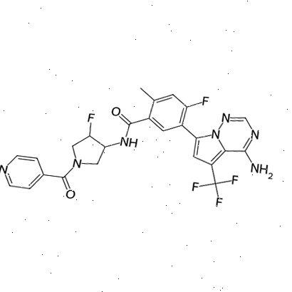 Cc1cc(F)c(-c2cc(C(F)(F)F)c3c(N)ncnn23)cc1C(=O)NC1CN(C(=O)c2ccncc2)CC1F